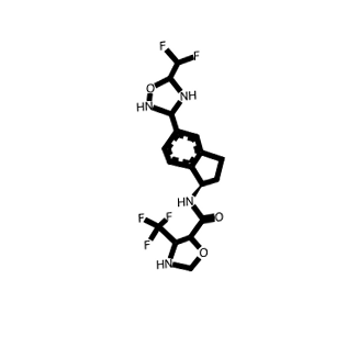 O=C(N[C@@H]1CCc2cc(C3NOC(C(F)F)N3)ccc21)C1OCNC1C(F)(F)F